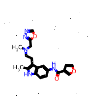 Cc1[nH]c2ccc(NC(=O)c3ccoc3)cc2c1CCN(C)Cc1nnco1